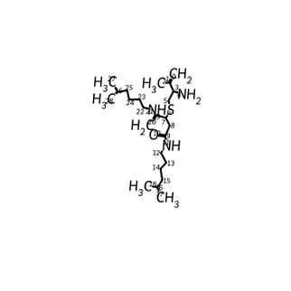 C=C(C)C(N)CSC(CC(=O)NCCCCC(C)C)C(=C)NCCCCC(C)C